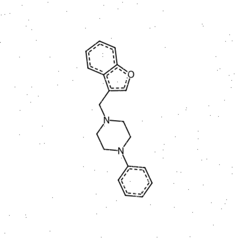 c1ccc(N2CCN(Cc3coc4ccccc34)CC2)cc1